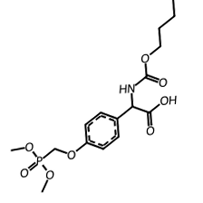 CCCCOC(=O)NC(C(=O)O)c1ccc(OCP(=O)(OC)OC)cc1